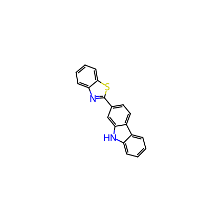 c1ccc2sc(-c3ccc4c(c3)[nH]c3ccccc34)nc2c1